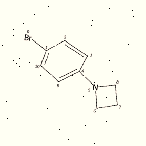 Brc1ccc(N2CCC2)cc1